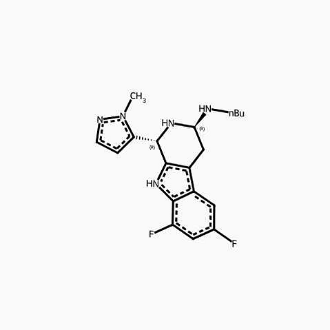 CCCCN[C@H]1Cc2c([nH]c3c(F)cc(F)cc23)[C@H](c2ccnn2C)N1